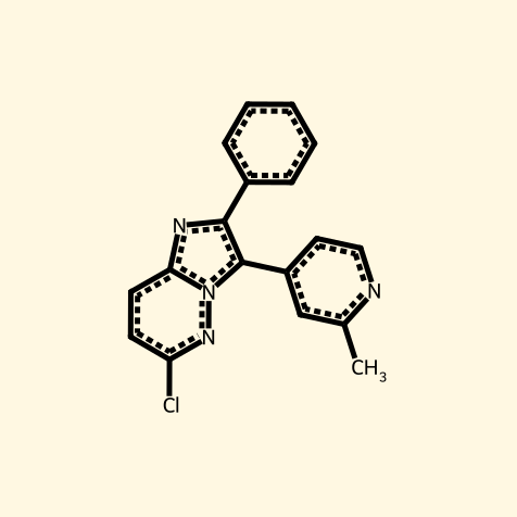 Cc1cc(-c2c(-c3ccccc3)nc3ccc(Cl)nn23)ccn1